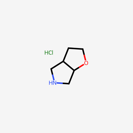 C1CC2CNCC2O1.Cl